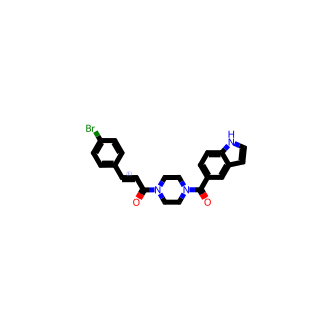 O=C(/C=C/c1ccc(Br)cc1)N1CCN(C(=O)c2ccc3[nH]ccc3c2)CC1